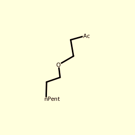 CCCCCCCOCCC(C)=O